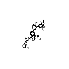 CC(F)(F)C(C=Cc1ccc(C(=O)NCCSCC(F)(F)F)c(C(F)(F)F)c1)c1cc(Cl)c(Cl)c(Cl)c1